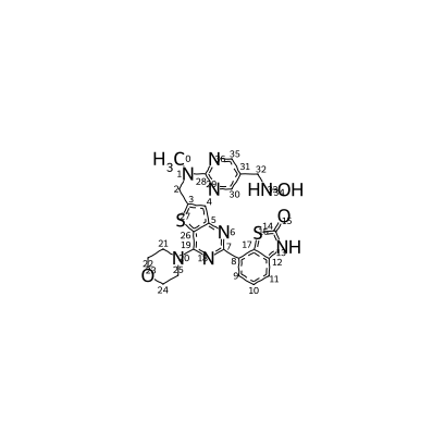 CN(Cc1cc2nc(-c3cccc4[nH]c(=O)sc34)nc(N3CCOCC3)c2s1)c1ncc(CNO)cn1